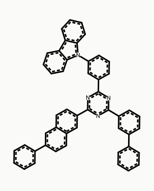 c1ccc(-c2cccc(-c3nc(-c4cccc(-n5c6ccccc6c6ccccc65)c4)nc(-c4ccc5cc(-c6ccccc6)ccc5c4)n3)c2)cc1